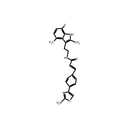 Cc1[nH]c2c(F)ccc(C)c2c1CCNC(=O)/C=C/c1ccc(-c2csc(N)n2)cc1